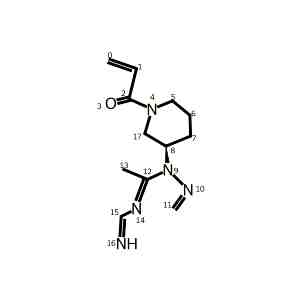 C=CC(=O)N1CCC[C@@H](N(N=C)/C(C)=N/C=N)C1